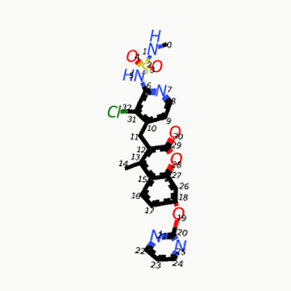 CNS(=O)(=O)Nc1nccc(Cc2c(C)c3ccc(Oc4ncccn4)cc3oc2=O)c1Cl